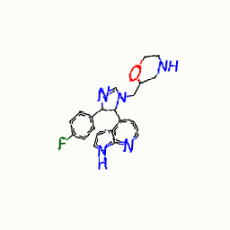 Fc1ccc(C2N=CN(CC3CNCCO3)C2c2ccnc3[nH]ccc23)cc1